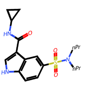 CCCN(CCC)S(=O)(=O)c1ccc2[nH]cc(C(=O)NC3CC3)c2c1